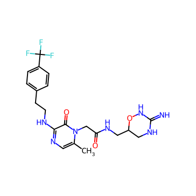 Cc1cnc(NCCc2ccc(C(F)(F)F)cc2)c(=O)n1CC(=O)NCC1CNC(=N)NO1